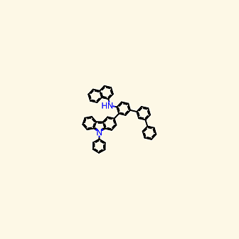 c1ccc(-c2cccc(-c3ccc(Nc4cccc5ccccc45)c(-c4ccc5c(c4)c4ccccc4n5-c4ccccc4)c3)c2)cc1